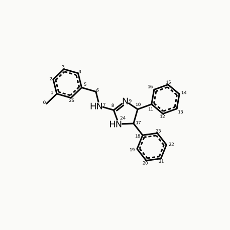 Cc1cccc(CNC2=NC(c3ccccc3)C(c3ccccc3)N2)c1